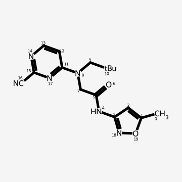 Cc1cc(NC(=O)CN(CC(C)(C)C)c2ccnc(C#N)n2)no1